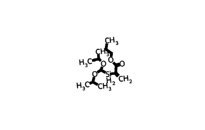 C=C([SiH2]C(OC(C)C)OC(C)C)C(=O)OCCC